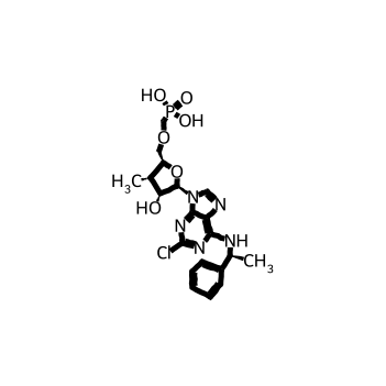 C[C@H]1[C@@H](O)[C@H](n2cnc3c(N[C@@H](C)c4ccccc4)nc(Cl)nc32)O[C@@H]1COCP(=O)(O)O